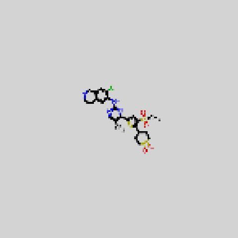 CS(=O)(=O)c1cc(-c2nc(Nc3cc4c(cc3Cl)CNCC4)ncc2C(F)(F)F)sc1C1CCS(=O)(=O)CC1